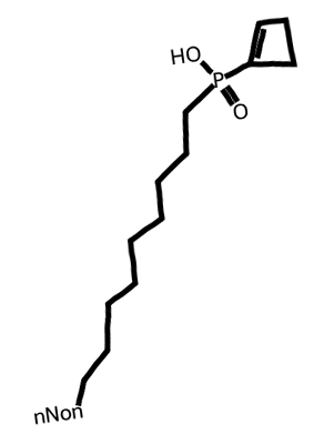 CCCCCCCCCCCCCCCCCCP(=O)(O)C1=CCC1